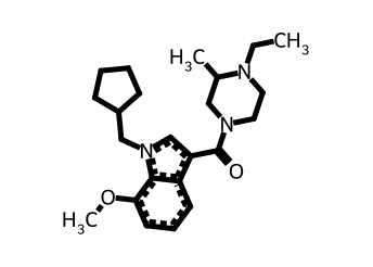 CCN1CCN(C(=O)c2cn(CC3CCCC3)c3c(OC)cccc23)CC1C